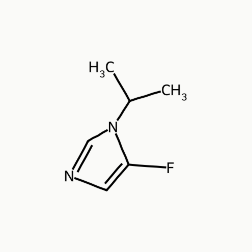 CC(C)n1cncc1F